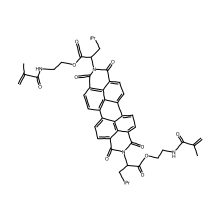 C=C(C)C(=O)NCCOC(=O)C(CC(C)C)N1C(=O)c2ccc3c4ccc5c6c(ccc(c7ccc(c2c37)C1=O)c64)C(=O)N(C(CC(C)C)C(=O)OCCNC(=O)C(=C)C)C5=O